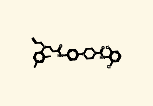 C=CCN(CCC(=O)Nc1ccc(N2CCN(C(=O)Nc3c(Cl)cccc3Cl)CC2)cc1)c1ccc(C)cc1C